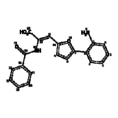 Nc1ccccc1-c1ccc(/C=C(\NC(=O)c2ccccc2)C(=O)O)o1